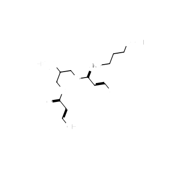 CC=CC(=O)OCC(COC(=O)C=CC)C(=O)O.O=S(=O)(O)CC[CH2][Na]